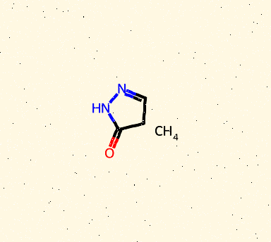 C.O=C1CC=NN1